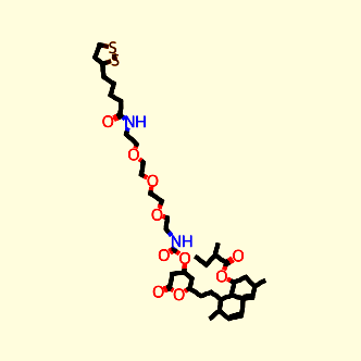 CCC(C)C(=O)OC1CC(C)C=C2C=CC(C)C(CCC3CC(OC(=O)NCCOCCOCCOCCNC(=O)CCCCC4CCSS4)CC(=O)O3)C21